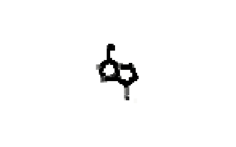 CC(C)c1nnc2c(N)c[nH]n12